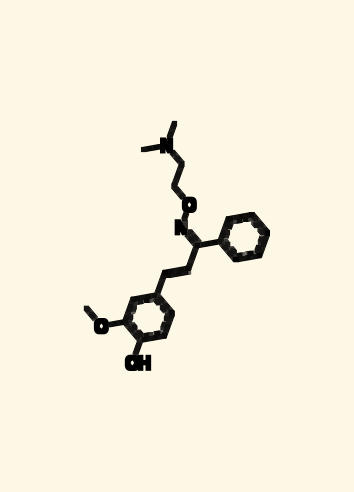 COc1cc(C=CC(=NOCCN(C)C)c2ccccc2)ccc1O